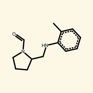 Cc1ccccc1NCC1CCCN1C=O